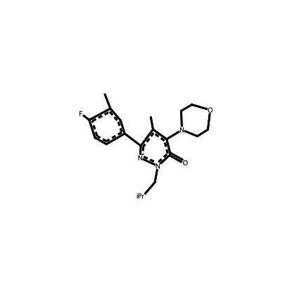 Cc1cc(-c2nn(CC(C)C)c(=O)c(N3CCOCC3)c2C)ccc1F